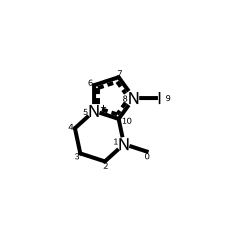 CN1CCC[n+]2ccn(I)c21